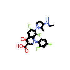 CCNC1CCN(c2c(F)cc3c(=O)c(C(=O)O)cn(-c4ccc(F)cc4F)c3c2F)C1C